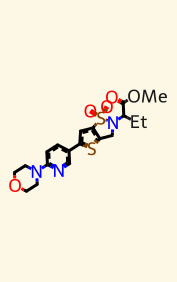 CCC(C(=O)OC)N1Cc2sc(-c3ccc(N4CCOCC4)nc3)cc2S1(=O)=O